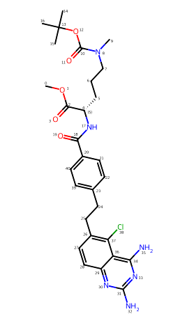 COC(=O)[C@H](CCCN(C)C(=O)OC(C)(C)C)NC(=O)c1ccc(CCc2ccc3nc(N)nc(N)c3c2Cl)cc1